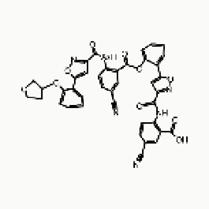 N#Cc1ccc(NC(=O)c2cc(-c3ccccc3OC(=O)c3cc(C#N)ccc3[AsH]C(=O)c3cc(-c4ccccc4OC4CCOC4)on3)on2)c(C(=O)O)c1